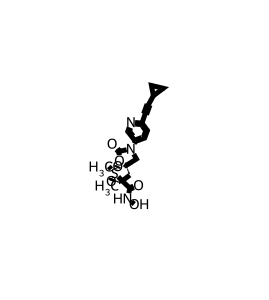 C[C@@](C[C@H]1CN(c2ccc(C#CC3CC3)nc2)C(=O)O1)(C(=O)NO)S(C)(=O)=O